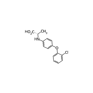 C[C@H](Nc1ccc(Oc2ccccc2Cl)cc1)C(=O)O